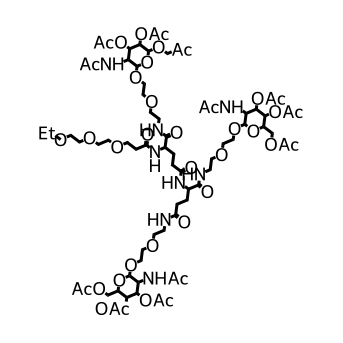 CCOCCOCCOCCC(=O)NC(CCC(=O)NC(CCC(=O)NCCOCCOC1OC(COC(C)=O)C(OC(C)=O)C(OC(C)=O)C1NC(C)=O)C(=O)NCCOCCOC1OC(COC(C)=O)C(OC(C)=O)C(OC(C)=O)C1NC(C)=O)C(=O)NCCOCCOC1OC(OCC(C)=O)C(OC(C)=O)C(OC(C)=O)C1NC(C)=O